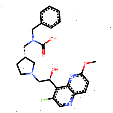 COc1ccc2ncc(F)c([C@H](O)CN3CC[C@H](CN(Cc4ccccc4)C(=O)O)C3)c2n1